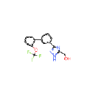 OCc1nc(-c2cccc(-c3ccccc3OC(F)(F)F)c2)n[nH]1